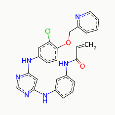 C=CC(=O)Nc1cccc(Nc2cc(Nc3ccc(OCc4ccccn4)c(Cl)c3)ncn2)c1